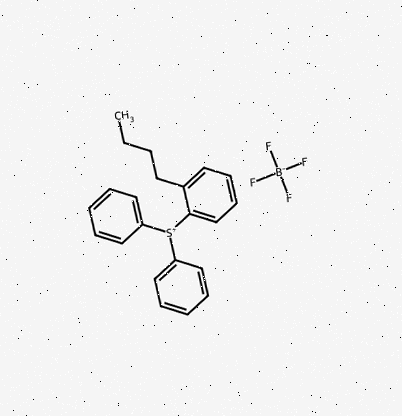 CCCCc1ccccc1[S+](c1ccccc1)c1ccccc1.F[B-](F)(F)F